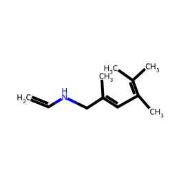 C=CNC/C(C)=C/C(C)=C(C)C